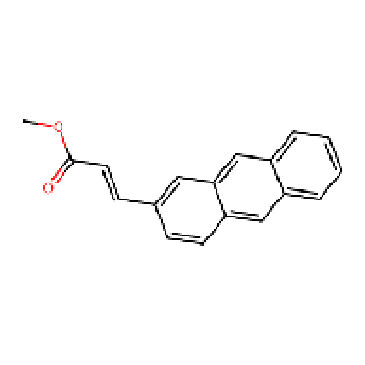 COC(=O)C=Cc1ccc2cc3ccccc3cc2c1